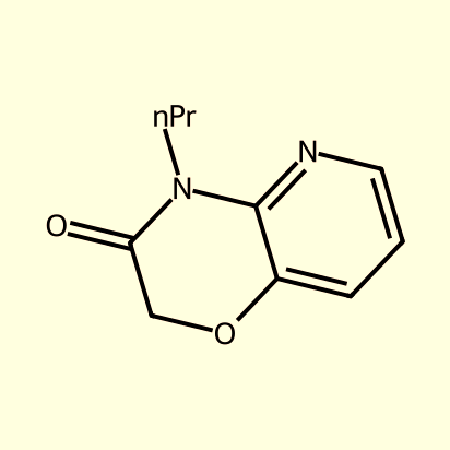 CCCN1C(=O)COc2cccnc21